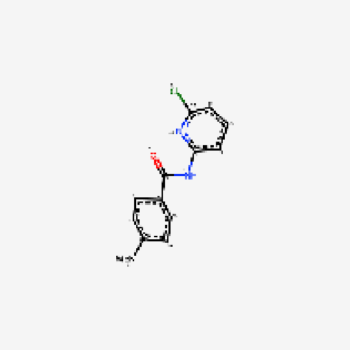 CNc1ccc(C(=O)Nc2cccc(Cl)n2)cc1